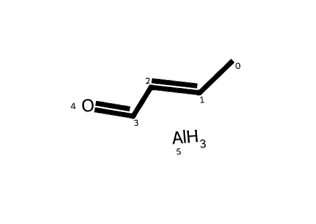 CC=CC=O.[AlH3]